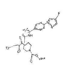 CCN(C(=O)CCl)C1(C(=O)N[C@@H](C)c2ccc(-n3cc(F)cn3)nc2)CCN(C(=O)OC(C)(C)C)CC1